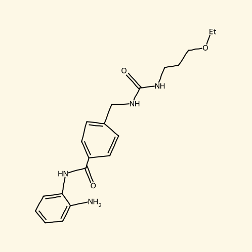 CCOCCCNC(=O)NCc1ccc(C(=O)Nc2ccccc2N)cc1